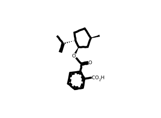 C=C(C)[C@@H]1CC[C@@H](C)C[C@H]1OC(=O)c1ccccc1C(=O)O